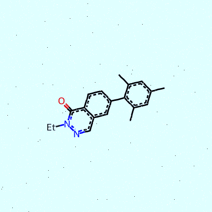 CCn1ncc2cc(-c3c(C)cc(C)cc3C)ccc2c1=O